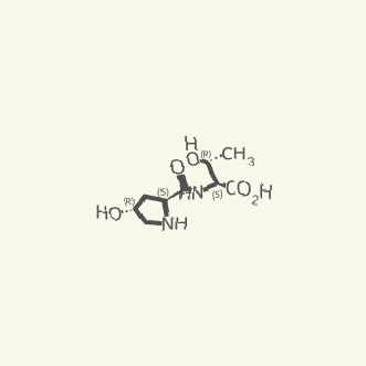 C[C@@H](O)[C@H](NC(=O)[C@@H]1C[C@@H](O)CN1)C(=O)O